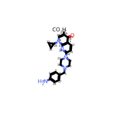 Nc1ccc(CN2CCN(c3ccc4c(=O)c(C(=O)O)cn(C5CC5)c4n3)CC2)cc1